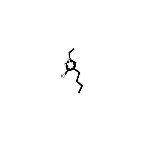 CCCCc1cn(CC)nc1O